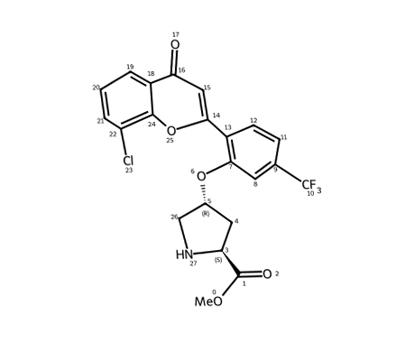 COC(=O)[C@@H]1C[C@@H](Oc2cc(C(F)(F)F)ccc2-c2cc(=O)c3cccc(Cl)c3o2)CN1